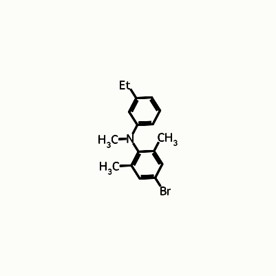 CCc1cccc(N(C)c2c(C)cc(Br)cc2C)c1